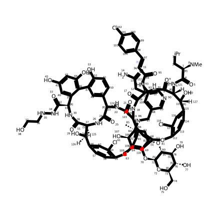 CN[C@H](CC(C)C)C(=O)N[C@H]1C(=O)N[C@@H](CC(N)=O)C(=O)N[C@H]2C(=O)N[C@H]3C(=O)N[C@H](C(=O)N[C@@H](C(=O)NNCCO)c4cc(O)cc(O)c4-c4cc3ccc4O)[C@H](O)c3ccc(c(Cl)c3)Oc3cc2cc(c3O[C@@H]2O[C@H](CO)[C@@H](O)[C@H](O)[C@H]2O[C@H]2C[C@](C)(NCc3cncc(NC(=O)/C=C/c4ccc(Cl)cc4)c3)[C@H](O)[C@H](C)O2)Oc2ccc(cc2Cl)[C@H]1O